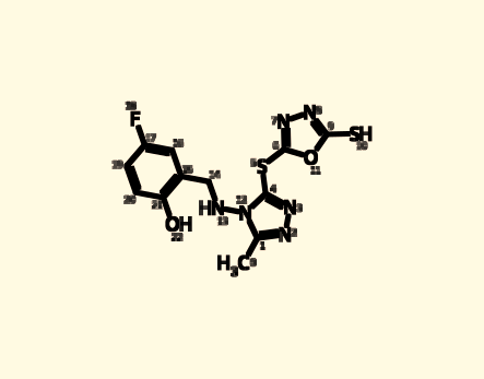 Cc1nnc(Sc2nnc(S)o2)n1NCc1cc(F)ccc1O